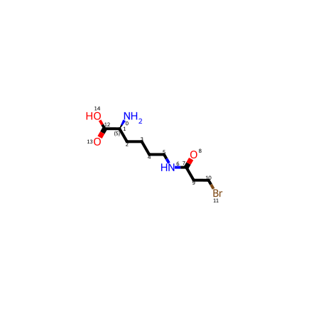 N[C@@H](CCCCNC(=O)CCBr)C(=O)O